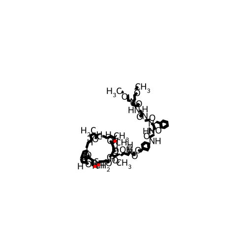 C=C1C[C@@H]2CC[C@@]34CC5OC6C(O[C@H]7CC[C@H](CC(=O)C[C@@H]8[C@@H](OC)[C@@H](C[C@H](O)CNC(=O)OCc9ccc(NC(=O)CNC(=O)[C@H](Cc%10ccccc%10)NC(=O)CNC(=O)CNC(=O)CN(CCOCC)CCOCC)cc9)O[C@H]8C[C@H]8O[C@@H](CC[C@@H]1O2)C[C@@H](C)C8=C)S(=C)[C@@H]7[C@@H]6O3)[C@H]5O4